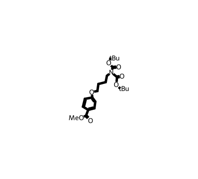 COC(=O)c1ccc(OCCCCN(C(=O)OC(C)(C)C)C(=O)OC(C)(C)C)cc1